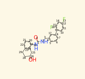 O=C(NCc1cccc(-c2ccc(F)cc2F)c1)Nc1cccc2c1CC(O)CC2